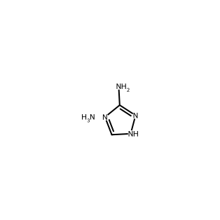 N.Nc1nc[nH]n1